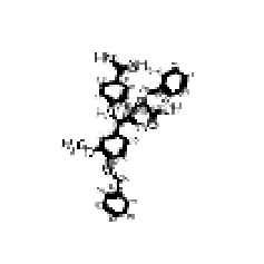 COc1cc([C@@H](Nc2ccc(C(=N)N)cc2)C(=O)N[C@@H](Cc2ccccc2)C(=O)O)ccc1OCc1ccccc1